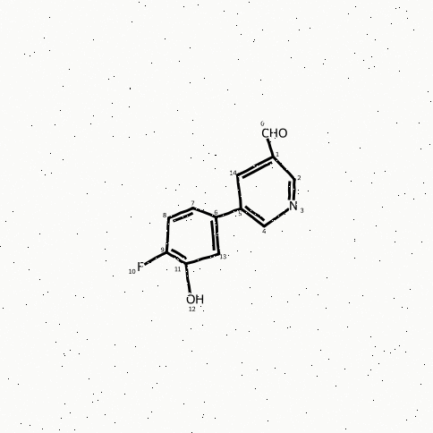 O=Cc1cncc(-c2ccc(F)c(O)c2)c1